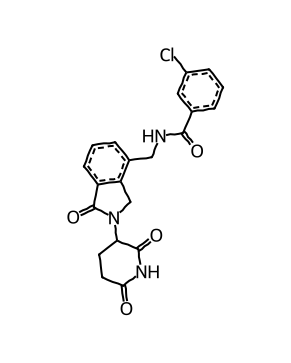 O=C1CCC(N2Cc3c(CNC(=O)c4cccc(Cl)c4)cccc3C2=O)C(=O)N1